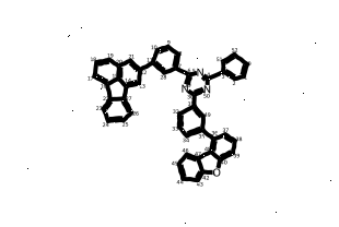 c1ccc(-c2nc(-c3cccc(-c4cc5c6c(cccc6c4)-c4ccccc4-5)c3)nc(-c3cccc(-c4cccc5oc6ccccc6c45)c3)n2)cc1